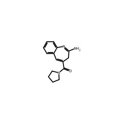 NC1=Nc2ccccc2C=C(C(=O)N2CCCC2)C1